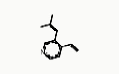 C=Cc1ccncc1C=C(C)C